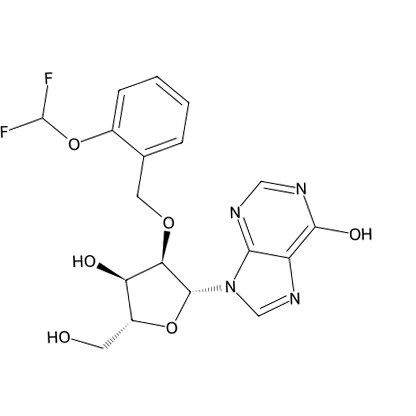 OC[C@H]1O[C@@H](n2cnc3c(O)ncnc32)[C@H](OCc2ccccc2OC(F)F)[C@@H]1O